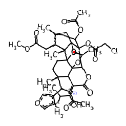 COC(=O)CC1C2(C)CC34OC5(C)OC67C(/C(=C(/O)C(C)C)C(=O)OC6C3(OC(=O)CCl)C2OC(C)=O)C(C)(C(OC(C)=O)c2ccoc2)CCC7(O5)C14C